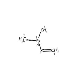 C=[CH][PbH]([CH3])[CH3]